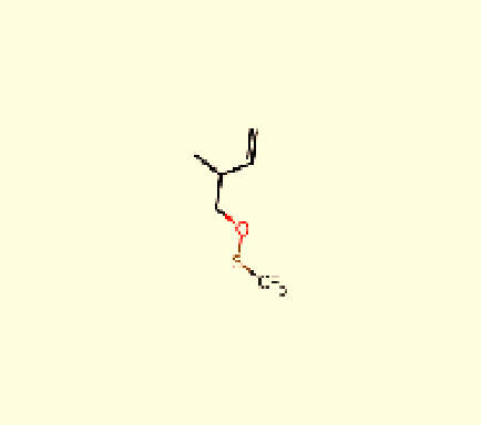 C=CC(C)COSC(F)(F)F